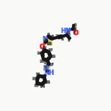 CC(=O)NC(C)C#Cc1cnc(Oc2ccc(/C=N/Nc3ccccc3)cc2)s1